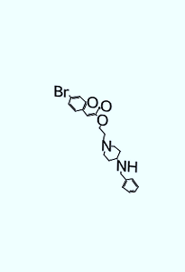 O=c1oc2cc(Br)ccc2cc1OCCCN1CCC(NCc2ccccc2)CC1